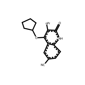 CCCc1c(OC2CCCC2)c2cc(C#N)ccc2[nH]c1=O